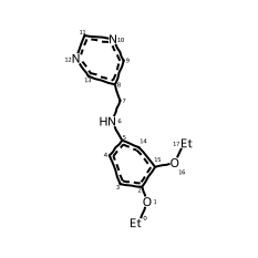 CCOc1ccc(NCc2cncnc2)cc1OCC